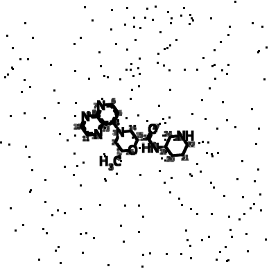 C[C@@H]1CN(c2ccnc3nccnc23)C[C@H](C(=O)N[C@@H]2CCCNC2)O1